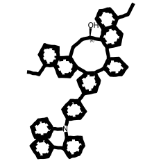 CCc1cccc2c3c(ccc12)-c1cc(-c2ccc(N(c4ccccc4)c4ccccc4-c4ccccc4)cc2)ccc1-c1ccccc1-c1ccc2c(CC)cccc2c1[C@H](O)CC3